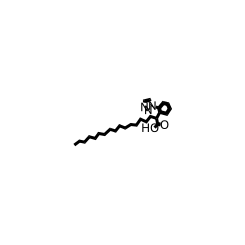 CCCCCCCCCCCCCCCCC(C(=O)O)c1ccccc1-n1ccnn1